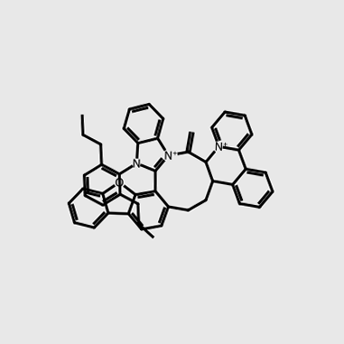 C=C1C2C(CCc3ccc4c(oc5ccccc54)c3-c3n(-c4c(CCC)cccc4CCC)c4ccccc4[n+]31)c1ccccc1-c1cccc[n+]12